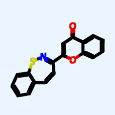 O=c1cc(C2=NSc3ccccc3C=C2)oc2ccccc12